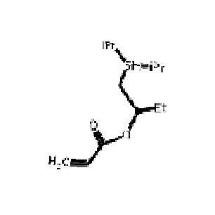 C=CC(=O)OC(CC)C[SiH](C(C)C)C(C)C